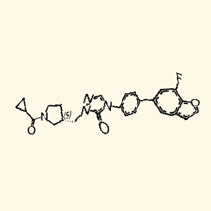 O=C(C1CC1)N1CC[C@H](Cn2ncn(-c3ccc(-c4cc(F)c5occc5c4)cc3)c2=O)C1